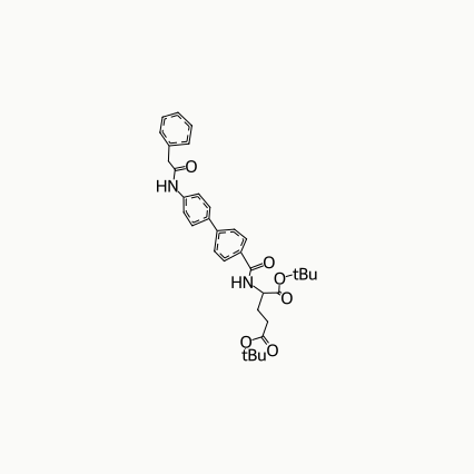 CC(C)(C)OC(=O)CCC(NC(=O)c1ccc(-c2ccc(NC(=O)Cc3ccccc3)cc2)cc1)C(=O)OC(C)(C)C